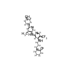 Cc1cc(N2CCN(C)CC2)ncc1Nc1cc(NCCCN2CCCCC2=O)c(C(F)(F)F)cn1